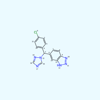 Clc1ccc(C(c2ccc3nn[nH]c3c2)n2cncn2)cc1